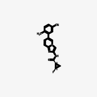 Cc1ccc(C#N)cc1-c1ccc2nc(NC(=O)[C@@H]3C[C@@H]3F)cn2c1